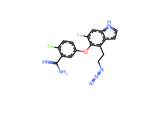 [N-]=[N+]=NCCc1c(Oc2ccc(F)c(C(=N)N)c2)c(F)cc2[nH]ccc12